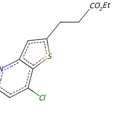 CCOC(=O)CCc1cc2nccc(Cl)c2s1